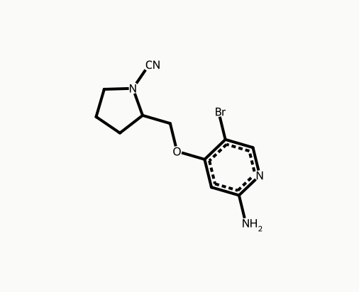 N#CN1CCCC1COc1cc(N)ncc1Br